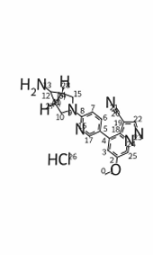 COc1cc(-c2ccc(N3C[C@@H]4C(N)[C@@H]4C3)nc2)c2c(C#N)cnn2c1.Cl